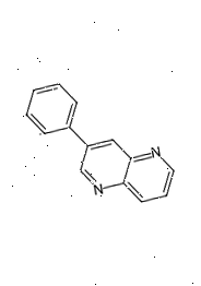 [c]1ccccc1-c1cnc2cccnc2c1